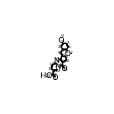 COc1ccc(OC)c(C=C2CCc3c2nc2ccc(C(=O)O)cn2c3=O)c1